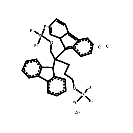 CC[Si](CC)(CC)OCCCC(CO[Si](CC)(CC)CC)(C1=c2ccccc2=C2C=CC=CC21)C1c2ccccc2-c2ccccc21.[Cl-].[Cl-].[Zr+2]